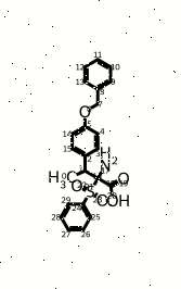 CC(c1ccc(OCc2ccccc2)cc1)C(N)(C(=O)O)S(=O)(=O)c1ccccc1